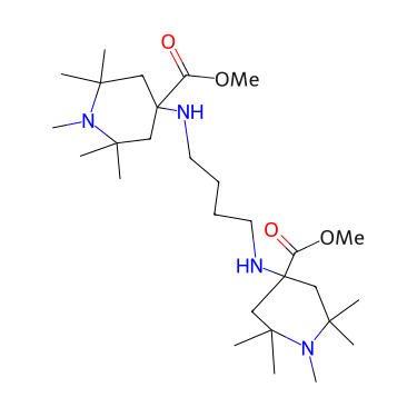 COC(=O)C1(NCCCCNC2(C(=O)OC)CC(C)(C)N(C)C(C)(C)C2)CC(C)(C)N(C)C(C)(C)C1